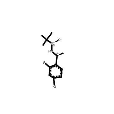 C[C@H](N[S@+]([O-])C(C)(C)C)c1ccc(Cl)cc1F